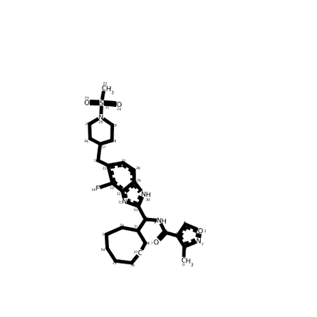 Cc1nocc1C(=O)NC(c1nc2c(F)c(CC3CCN(S(C)(=O)=O)CC3)ccc2[nH]1)C1CCCCCCC1